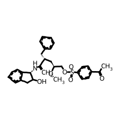 C=C(N[C@H]1c2ccccc2CC1O)[C@H](Cc1ccccc1)C[C@@H](COS(=O)(=O)c1ccc(C(C)=O)cc1)OC